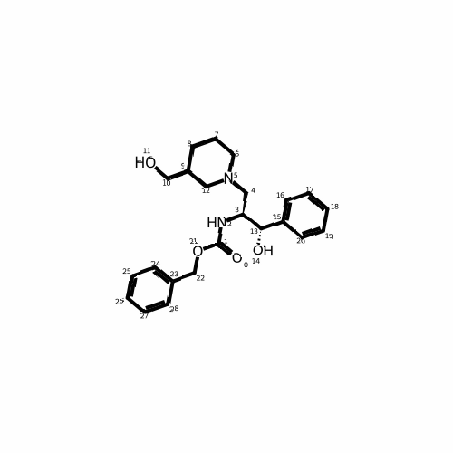 O=C(N[C@@H](CN1CCCC(CO)C1)[C@@H](O)c1ccccc1)OCc1ccccc1